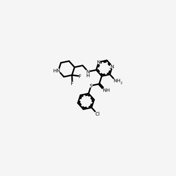 N=C(Sc1cccc(Cl)c1)c1c(N)ncnc1NCC1CCNCC1(F)F